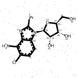 CC(C)c1nc2c(N)c(Cl)ccc2n1[C@H]1O[C@@H](CO)[C@H](O)[C@@H]1O